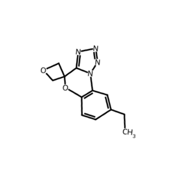 CCc1ccc2c(c1)-n1nnnc1C1(COC1)O2